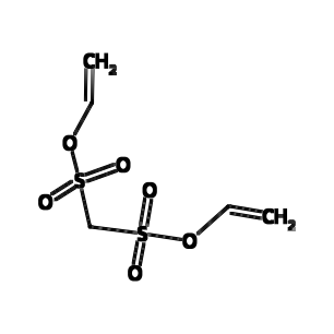 C=COS(=O)(=O)CS(=O)(=O)OC=C